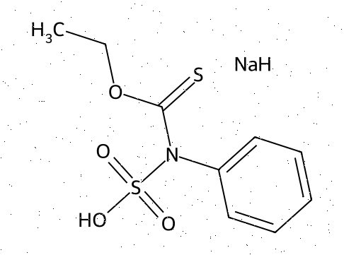 CCOC(=S)N(c1ccccc1)S(=O)(=O)O.[NaH]